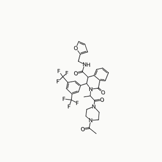 CC(=O)N1CCN(C(=O)C(C)N2C(=O)c3ccccc3C(C(=O)NCc3ccco3)C2c2cc(C(F)(F)F)cc(C(F)(F)F)c2)CC1